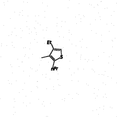 CCCc1scc(CC)c1C